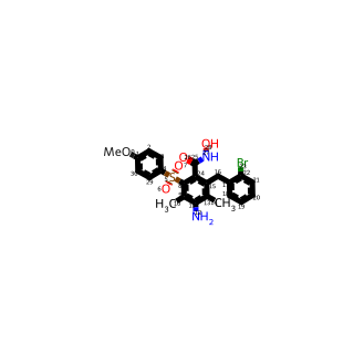 COc1ccc(S(=O)(=O)c2c(C)c(N)c(C)c(Cc3ccccc3Br)c2C(=O)NO)cc1